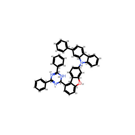 c1ccc(C2=NC(c3cccc4oc5cc(-n6c7ccccc7c7ccc(-c8ccccc8)cc76)ccc5c34)NC(c3ccccc3)=N2)cc1